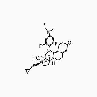 CCN(C)c1cc(F)c([C@H]2C[C@@]3(C)[C@@H](CC[C@@]3(O)C#CC3CC3)[C@@H]3CCC4=CC(=O)CCC4=C32)c(F)c1